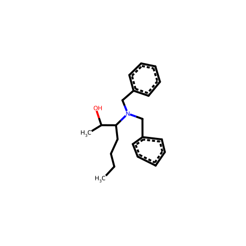 CCCCC(C(C)O)N(Cc1ccccc1)Cc1ccccc1